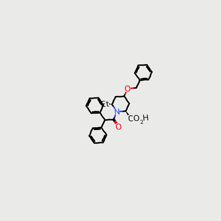 CC[C@@H]1CC(OCc2ccccc2)C[C@@H](C(=O)O)N1C(=O)C(c1ccccc1)c1ccccc1